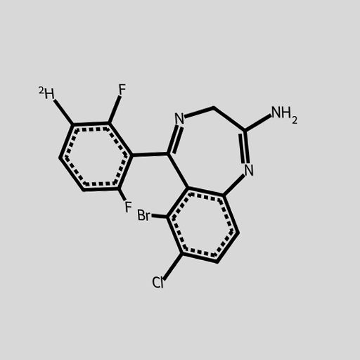 [2H]c1ccc(F)c(C2=NCC(N)=Nc3ccc(Cl)c(Br)c32)c1F